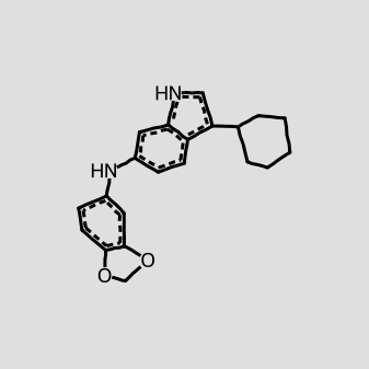 c1cc2c(cc1Nc1ccc3c(C4CCCCC4)c[nH]c3c1)OCO2